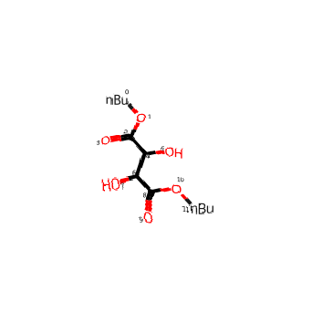 CCCCOC(=O)C(O)C(O)C(=O)OCCCC